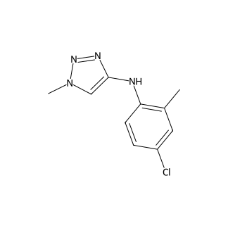 Cc1cc(Cl)ccc1Nc1cn(C)nn1